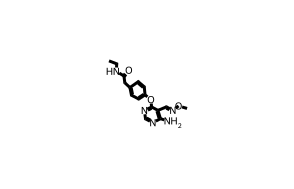 CCNC(=O)Cc1ccc(Oc2ncnc(N)c2C=NOC)cc1